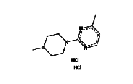 Cc1ccnc(N2CCN(C)CC2)n1.Cl.Cl